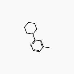 Cc1ccnc(N2CCCCC2)n1